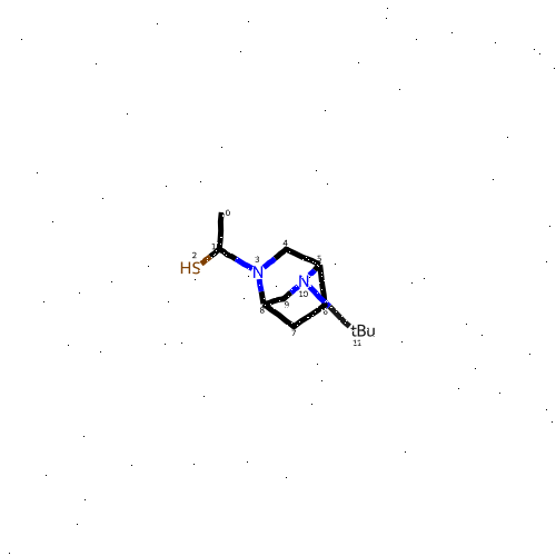 CC(S)N1CC2CCC1CN2C(C)(C)C